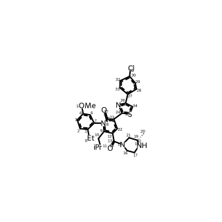 CCc1ccc(OC)cc1-n1c(CC(C)C)c(C(=O)N2CCN[C@@H](C)C2)cc(-c2nc(-c3ccc(Cl)cc3)cs2)c1=O